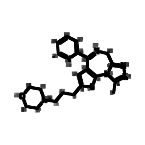 Cc1nnc2n1-c1sc(CCCN3CCOCC3)cc1C(c1ccccn1)=NC2